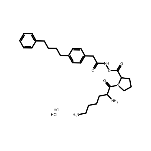 Cl.Cl.NCCCCC(N)C(=O)N1CCCC1C(=O)ONC(=O)Cc1ccc(CCCCc2ccccc2)cc1